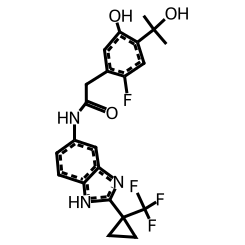 CC(C)(O)c1cc(F)c(CC(=O)Nc2ccc3[nH]c(C4(C(F)(F)F)CC4)nc3c2)cc1O